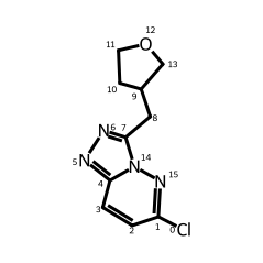 Clc1ccc2nnc(CC3CCOC3)n2n1